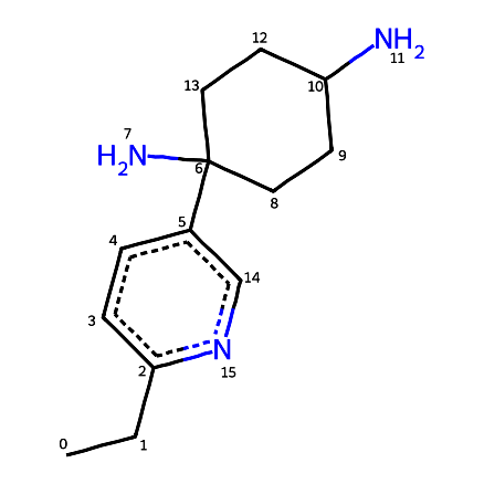 CCc1ccc(C2(N)CCC(N)CC2)cn1